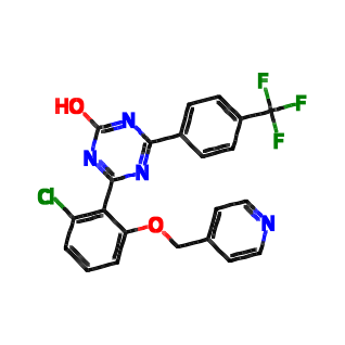 Oc1nc(-c2ccc(C(F)(F)F)cc2)nc(-c2c(Cl)cccc2OCc2ccncc2)n1